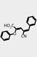 N#CC(=Cc1ccccc1)C=C(Oc1ccccc1)C(=O)O